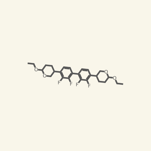 CCOC1CCC(c2ccc(-c3ccc(C4CCC(OCC)OC4)c(F)c3F)c(F)c2F)CO1